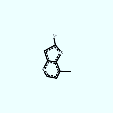 Cc1ccnc2cc(S)sc12